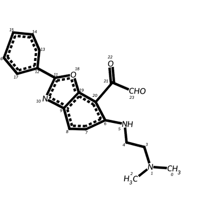 CN(C)CCNc1ccc2nc(-c3ccccc3)oc2c1C(=O)C=O